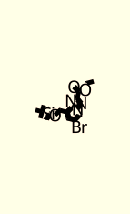 CCOC(=O)c1nc2c(CO[Si](C)(C)C(C)(C)C)cc(Br)cn2n1